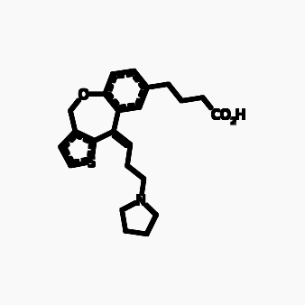 O=C(O)CCCc1ccc2c(c1)/C(=C/CCN1CCCC1)c1sccc1CO2